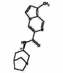 Cc1ccn2cc(C(=O)N[C@@H]3CC4CCN(C4)C3)ncc12